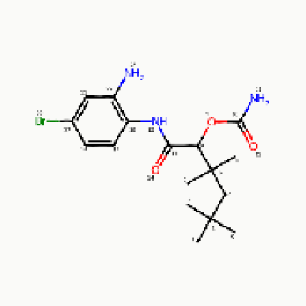 CC(C)(C)CC(C)(C)C(OC(N)=O)C(=O)Nc1ccc(Br)cc1N